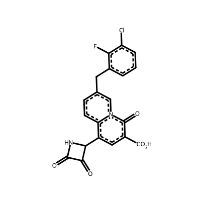 O=C1NC(c2cc(C(=O)O)c(=O)n3cc(Cc4cccc(Cl)c4F)ccc23)C1=O